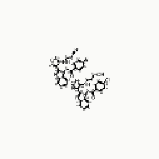 N#CCCNc1nonc1-c1nc2ccccc2n1CC(=O)c1ccc(Cl)cc1.O=C(Cn1c(-c2nonc2NCCCO)nc2ccccc21)c1ccc(Cl)cc1